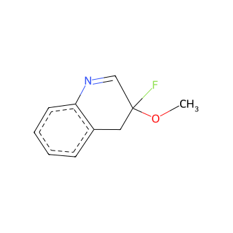 COC1(F)C=Nc2ccccc2C1